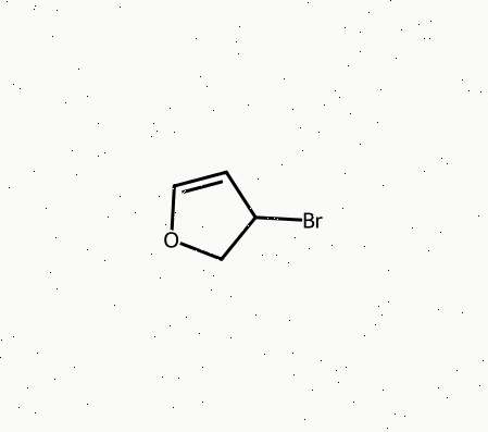 BrC1C=COC1